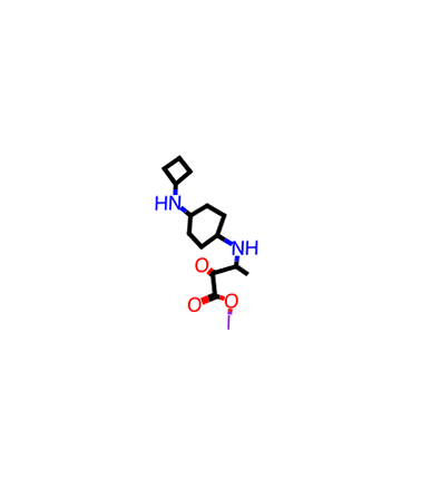 CC(NC1CCC(NC2CCC2)CC1)C(=O)C(=O)OI